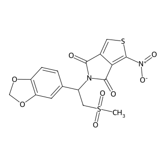 CS(=O)(=O)CC(c1ccc2c(c1)OCO2)N1C(=O)c2csc([N+](=O)[O-])c2C1=O